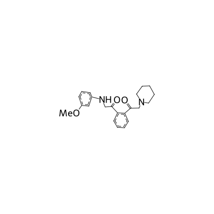 COc1cccc(NCC(=O)c2ccccc2C(=O)CN2CCCCC2)c1